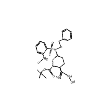 CC(C)(C)OC(=O)N1CC(N(OCc2ccccc2)S(=O)(=O)c2ccccc2[N+](=O)[O-])CCC1C(=N)NO